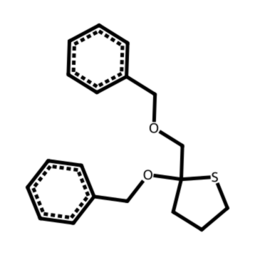 c1ccc(COCC2(OCc3ccccc3)CCCS2)cc1